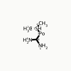 C[SH](C)[Po][CH](N)N